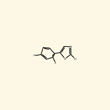 Fc1ccc(-c2cnc(Cl)o2)c(F)c1